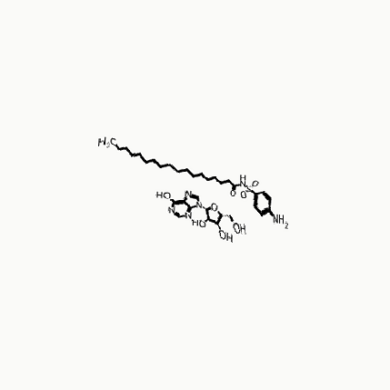 CCCCCCCCCCCCCCCCCC(=O)NS(=O)(=O)c1ccc(N)cc1.OC[C@H]1O[C@@H](n2cnc3c(O)ncnc32)[C@H](O)[C@@H]1O